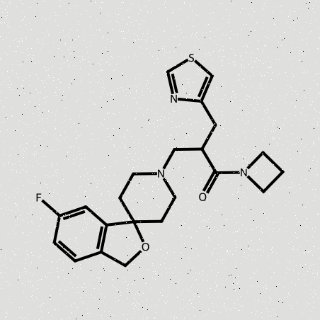 O=C(C(Cc1cscn1)CN1CCC2(CC1)OCc1ccc(F)cc12)N1CCC1